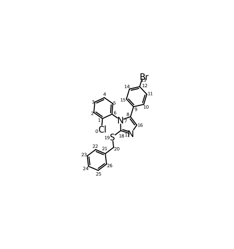 Clc1ccccc1-n1c(-c2ccc(Br)cc2)cnc1SCc1ccccc1